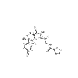 CC(C)[C@@H](NC(=O)CNC(=O)C1CCCC1)C(=O)N1CC[C@](O)(c2ccc(Cl)cc2)C(C)(C)C1